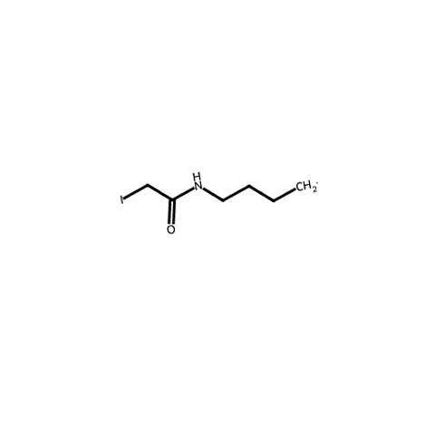 [CH2]CCCNC(=O)CI